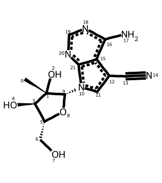 C[C@]1(O)[C@H](O)[C@@H](CO)O[C@H]1n1cc(C#N)c2c(N)ncnc21